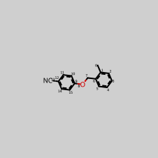 Cc1ccccc1COc1ccc(C#N)cc1